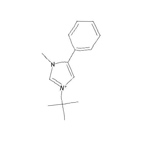 Cn1c[n+](C(C)(C)C)cc1-c1ccccc1